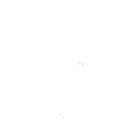 CC(=CC#N)Nc1cccc(C)c1